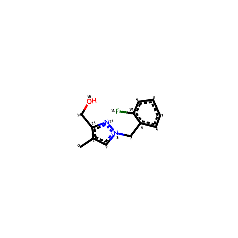 Cc1cn(Cc2ccccc2F)nc1CO